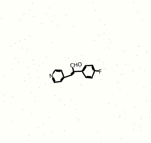 O=C/C(=C\c1ccncc1)c1ccc(F)cc1